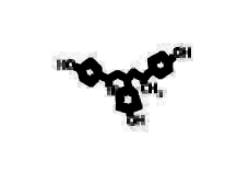 CC(CC(CC(c1ccc(O)cc1)C(C)(C)C)c1ccc(O)cc1)c1ccc(O)cc1